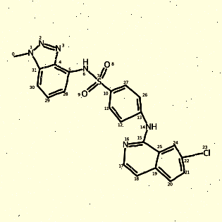 Cn1nnc2c(NS(=O)(=O)c3ccc(Nc4nccc5ccc(Cl)cc45)cc3)cccc21